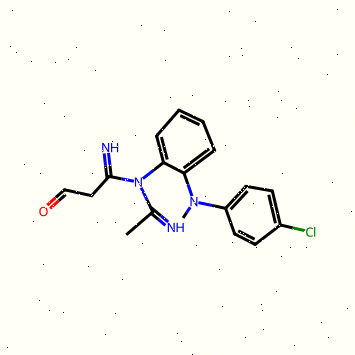 CC(=N)N(C(=N)CC=O)c1ccccc1N(C)c1ccc(Cl)cc1